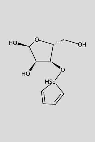 OC[C@H]1O[C@H](O)[C@H](O)[C@@H]1O[SeH]1C=CC=C1